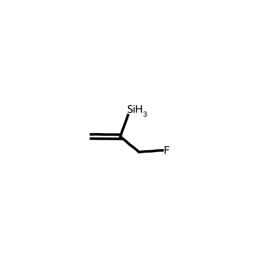 C=C([SiH3])CF